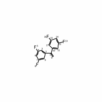 C=C(c1cc(F)cc(F)c1)c1cc(F)cc(F)c1